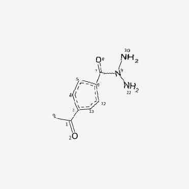 CC(=O)c1ccc(C(=O)N(N)N)cc1